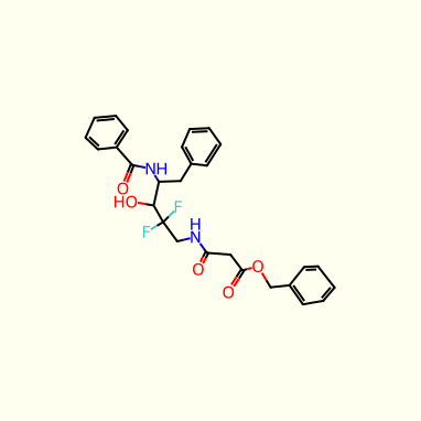 O=C(CC(=O)OCc1ccccc1)NCC(F)(F)C(O)C(Cc1ccccc1)NC(=O)c1ccccc1